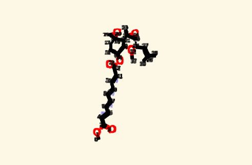 COC(=O)/C=C/C=C/C=C/C=C/C(=O)O[C@@H]1CC[C@]2(CO2)[C@@H](C2(C)O[C@@H]2CC=C(C)C)[C@@H]1OC